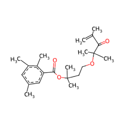 C=C(C)C(=O)C(C)(C)OCCC(C)(C)OC(=O)c1cc(C)cc(C)c1C